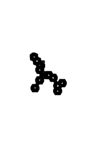 c1ccc(-c2ccc(N(c3ccc4ccc(-c5cc6ccccc6c6ccccc56)cc4c3)c3ccc4c(c3)sc3cc5ccccc5cc34)cc2)cc1